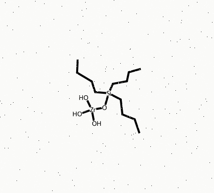 CCCC[Si](CCCC)(CCCC)[O][Zr]([OH])([OH])[OH]